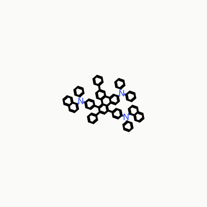 c1ccc(-c2ccc3c(c2)c2cc(N(c4ccccc4)c4ccccc4)ccc2c2c(-c4ccc(N(c5ccccc5)c5cccc6ccccc56)cc4)cc(-c4ccccc4)c(-c4ccc(N(c5ccccc5)c5cccc6ccccc56)cc4)c32)cc1